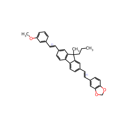 CCCC1(C)c2cc(/C=C/c3cccc(OC)c3)ccc2-c2ccc(/C=C/c3ccc4c(c3)OCO4)cc21